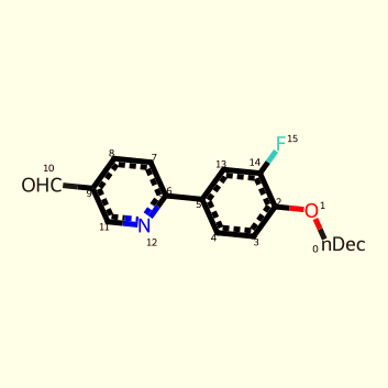 CCCCCCCCCCOc1ccc(-c2ccc(C=O)cn2)cc1F